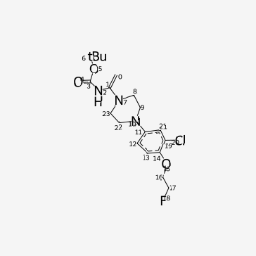 C=C(NC(=O)OC(C)(C)C)N1CCN(c2ccc(OCCF)c(Cl)c2)CC1